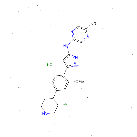 COc1cc(C2CCNCC2F)ccc1-c1cc(Nc2cnc(C#N)cn2)n[nH]1.Cl